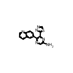 Nc1cnc(-c2ccc3ncccc3c2)c(-c2nncs2)n1